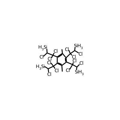 Cc1c(C(Cl)(Cl)C([SiH3])Cl)c(C(Cl)(Cl)C([SiH3])Cl)c(C)c(C(Cl)(Cl)C([SiH3])Cl)c1C(Cl)(Cl)C([SiH3])Cl